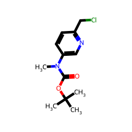 CN(C(=O)OC(C)(C)C)c1ccc(CCl)nc1